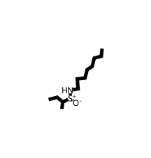 CCCCCCCCN[S+]([O-])C(C)CC